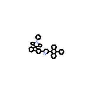 c1ccc(-c2c3ccccc3c(-c3ccc(-c4ccc5c(c4)C4(c6ccccc6-5)c5ccccc5N(c5ccccc5)c5ccccc54)nc3)c3ccccc23)cc1